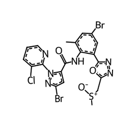 Cc1cc(Br)cc(-c2nnc(C[S+](C)[O-])o2)c1NC(=O)c1cc(Br)nn1-c1ncccc1Cl